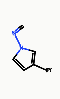 C=Nn1ccc(C(C)C)c1